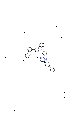 C1=NC(c2cccc(-n3c4ccccc4c4cc(-c5cccc6c5sc5ccccc56)ccc43)c2)NC(C2=CC=C(c3ccccc3)CC2)=C1